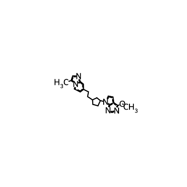 COc1ncnc2c1ccn2C1CCC(CCc2ccn3c(C)cnc3c2)C1